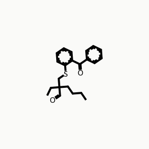 CCCCC(C=O)(CC)CSc1ccccc1C(=O)c1ccccc1